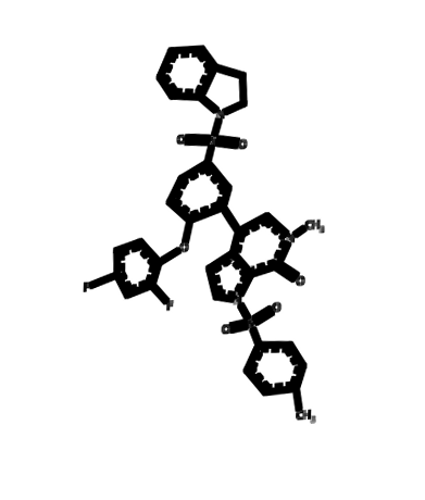 Cc1ccc(S(=O)(=O)n2ccc3c(-c4cc(S(=O)(=O)N5CCc6ccccc65)ccc4Oc4ccc(F)cc4F)cn(C)c(=O)c32)cc1